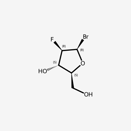 OC[C@@H]1O[C@H](Br)[C@H](F)[C@H]1O